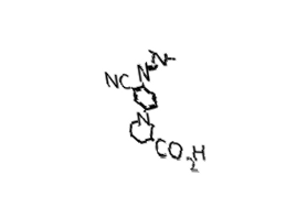 CN(C)C=Nc1ccc(N2CCCC(C(=O)O)C2)cc1C#N